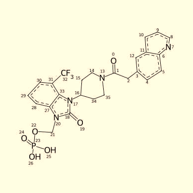 O=C(Cc1ccc2ncccc2c1)N1CCC(n2c(=O)n(COP(=O)(O)O)c3cccc(C(F)(F)F)c32)CC1